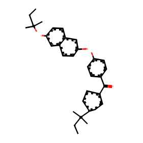 CCC(C)(C)Oc1ccc2cc(Oc3ccc(C(=O)c4ccc(C(C)(C)CC)cc4)cc3)ccc2c1